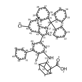 O=C(O)C1C2CCC(CC2)C1Nc1nc(-c2nn(C(c3ccccc3)(c3ccccc3)c3ccccc3)c3ncc(Cl)cc23)nc(-c2ccccc2)c1F